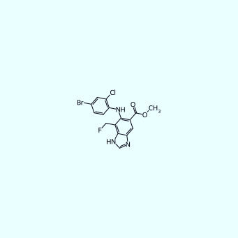 COC(=O)c1cc2nc[nH]c2c(CF)c1Nc1ccc(Br)cc1Cl